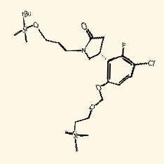 CC(C)(C)[Si](C)(C)OCCCN1C[C@@H](c2c(OCOCC[Si](C)(C)C)ccc(Cl)c2F)CC1=O